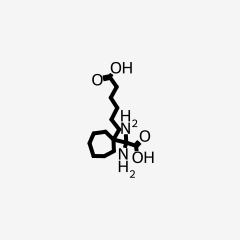 NC(N)(C(=O)O)C1(CCCCCC(=O)O)CCCCCC1